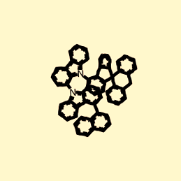 c1ccc2c(c1)Cc1ccccc1C21c2ccccc2-c2c(-n3c4ccccc4c4cccc(-n5c6ccccc6c6c(-c7cccc8ccccc78)cccc65)c43)cccc21